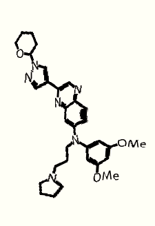 COc1cc(OC)cc(N(CCCN2CCCC2)c2ccc3ncc(-c4cnn(C5CCCCO5)c4)nc3c2)c1